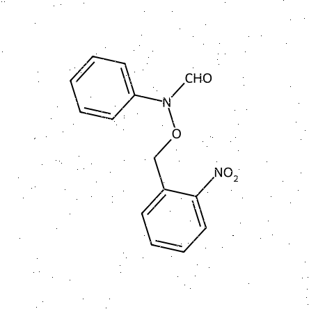 O=CN(OCc1ccccc1[N+](=O)[O-])c1ccccc1